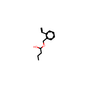 C=Cc1ccccc1COC(O)CCC